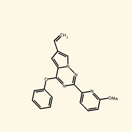 C=Cc1cc2c(Oc3ccccc3)nc(-c3cccc(OC)n3)nn2c1